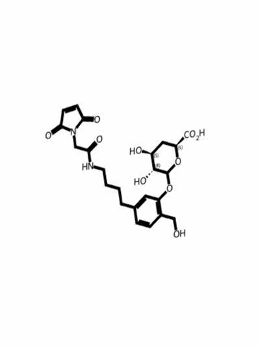 O=C(CN1C(=O)C=CC1=O)NCCCCc1ccc(CO)c(OC2O[C@H](C(=O)O)C[C@H](O)[C@H]2O)c1